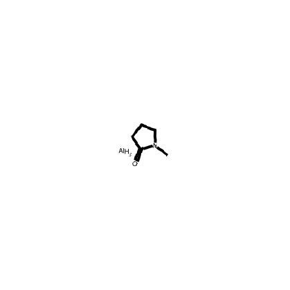 CN1CCCC1=O.[AlH3]